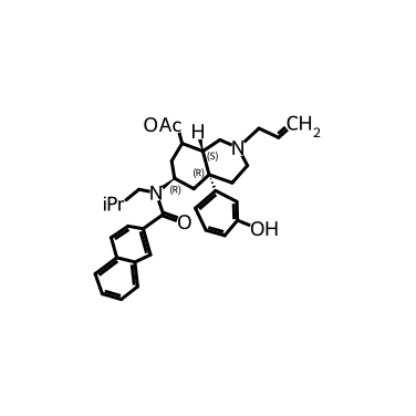 C=CCN1CC[C@@]2(c3cccc(O)c3)C[C@@H](N(CC(C)C)C(=O)c3ccc4ccccc4c3)CC(OC(C)=O)[C@@H]2C1